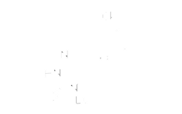 CCN1Cc2c(Oc3cccc(Cl)c3)ccnc2NC1=O